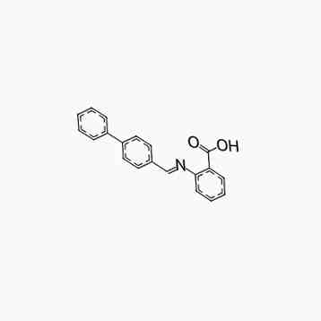 O=C(O)c1ccccc1/N=C/c1ccc(-c2ccccc2)cc1